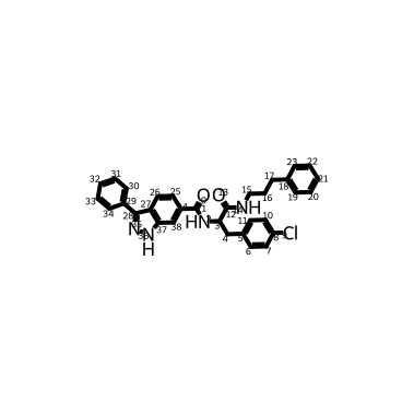 O=C(NC(Cc1ccc(Cl)cc1)C(=O)NCCCc1ccccc1)c1ccc2c(-c3ccccc3)n[nH]c2c1